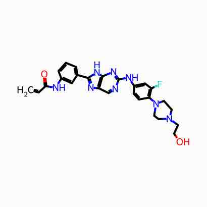 C=CC(=O)Nc1cccc(-c2nc3cnc(Nc4ccc(N5CCN(CCO)CC5)c(F)c4)nc3[nH]2)c1